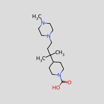 CN1CCN(CCC(C)(C)C2CCN(C(=O)O)CC2)CC1